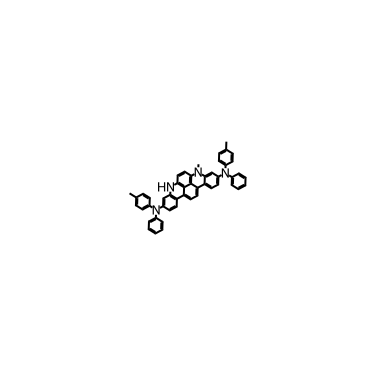 Cc1ccc(N(c2ccccc2)c2ccc3c(c2)Nc2ccc4c5c(ccc-3c25)-c2ccc(N(c3ccccc3)c3ccc(C)cc3)cc2N4C)cc1